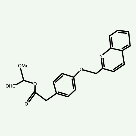 COC(C=O)OC(=O)Cc1ccc(OCc2ccc3ccccc3n2)cc1